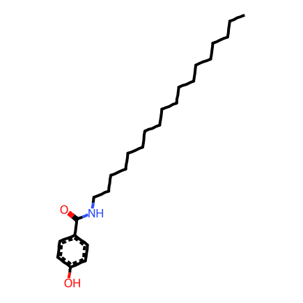 CCCCCCCCCCCCCCCCCCNC(=O)c1ccc(O)cc1